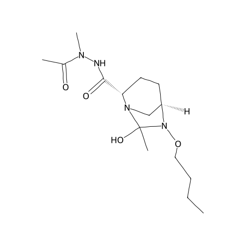 CCCCON1[C@@H]2CC[C@@H](C(=O)NN(C)C(C)=O)N(C2)C1(C)O